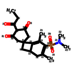 CCC(=O)C1C(=O)CC2(CC1=O)CC1CC(C)=C(S(=O)(=O)N(C)C)C(C)=C12